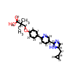 CC(C)(COc1ccc(-c2ccc(-c3ncc(CC4CC4)[nH]3)cn2)cc1)C(=O)O